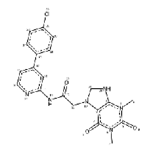 Cn1c2c(c(=O)n(C)c1=O)N(CC(=O)Nc1cc(-c3ccc(Cl)cc3)ccn1)CN2